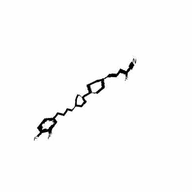 N#CC(F)=CC=C[C@H]1CC[C@H]([C@H]2CC[C@H](CCCCc3ccc(F)c(F)c3)CC2)CC1